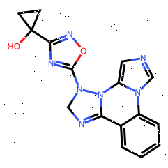 OC1(c2noc(N3CN=C4c5ccccc5-n5cncc5N43)n2)CC1